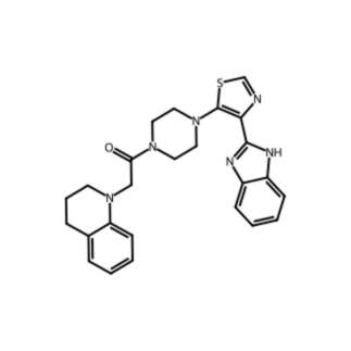 O=C(CN1CCCc2ccccc21)N1CCN(c2scnc2-c2nc3ccccc3[nH]2)CC1